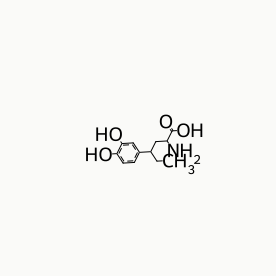 CCC(CC(N)C(=O)O)c1ccc(O)c(O)c1